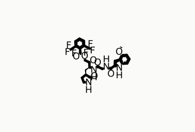 COc1cccc2[nH]c(C(=O)NCC(=O)N[C@@H](C[C@@H]3CCNC3=O)C(=O)COC(=O)c3c(C(F)(F)F)cccc3C(F)(F)F)cc12